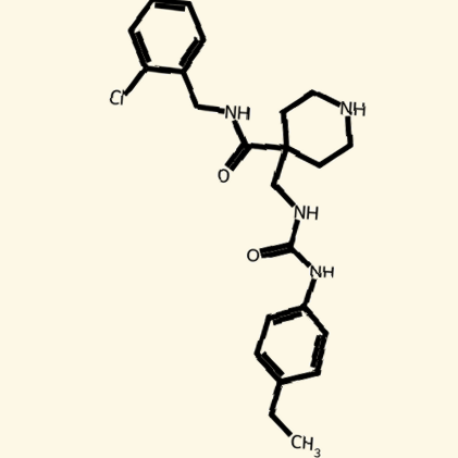 CCc1ccc(NC(=O)NCC2(C(=O)NCc3ccccc3Cl)CCNCC2)cc1